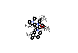 Cc1cc2c3c(c1)N(c1ccc(C(C)(C)C)cc1-c1ccc(C(C)(C)C)cc1)c1cc4c(cc1C3C1=C(c3cc5c(cc3C1)C(C)(C)c1ccccc1C5c1ccccc1)N2c1ccccc1)C(C)(C)c1ccccc1N4c1ccccc1